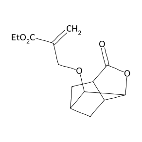 C=C(COC1C2CC3C(=O)OC1C3C2)C(=O)OCC